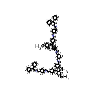 Cc1ccc(N(c2ccc(/C=C/c3ccc(/C=C/C=C(c4ccccc4)c4ccccc4)cc3)cc2)c2ccc(/C=C/c3cccc(/C=C/c4ccc(N(c5ccc(/C=C/c6ccc(/C=C/C=C(c7ccccc7)c7ccccc7)cc6)cc5)c5ccc(C)cc5C)cc4)c3)cc2)c(C)c1